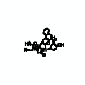 CNC(=O)N(CC#N)N1CC(=O)N2[C@@H](Cc3ccc(O)c(N)c3)C(=O)N(Cc3cccc4ccccc34)C[C@@H]21